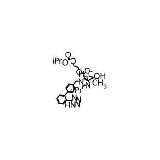 CCCc1nc(C(C)(C)O)c(C(=O)OCCOC(=O)OC(C)C)n1Cc1ccc(-c2ccccc2-c2nnn[nH]2)cc1